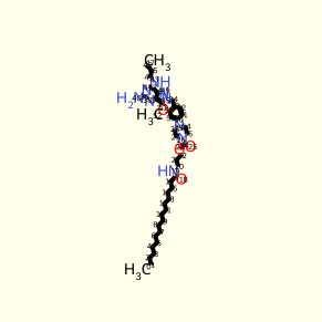 CCCCCCCCCCCCCCCCCC(=O)NCCCOC(=O)N1CCN(c2ccc(Cn3cc4nc(N)nc(NCCCC)c4n3)c(OC)c2)CC1